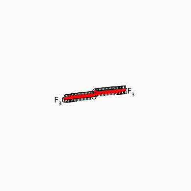 O=C(OOC(=O)C(F)(F)C(F)(F)C(F)(F)C(F)(F)C(F)(F)C(F)(F)C(F)(F)C(F)(F)C(F)(F)C(F)(F)C(F)(F)C(F)(F)C(F)(F)C(F)(Cl)C(Cl)(Cl)C(Cl)(Cl)C(Cl)(Cl)C(Cl)(Cl)C(Cl)(Cl)CC(F)(F)F)C(F)(F)C(F)(F)C(F)(F)C(F)(F)C(F)(F)C(F)(F)C(F)(F)C(F)(F)C(F)(F)C(F)(F)C(F)(F)C(F)(F)C(F)(F)C(F)(Cl)C(Cl)(Cl)C(Cl)(Cl)C(Cl)(Cl)C(Cl)(Cl)C(Cl)(Cl)CC(F)(F)F